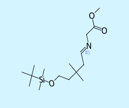 COC(=O)C/N=C/CC(C)(C)CCO[Si](C)(C)C(C)(C)C